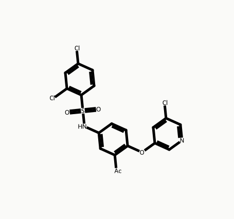 CC(=O)c1cc(NS(=O)(=O)c2ccc(Cl)cc2Cl)ccc1Oc1cncc(Cl)c1